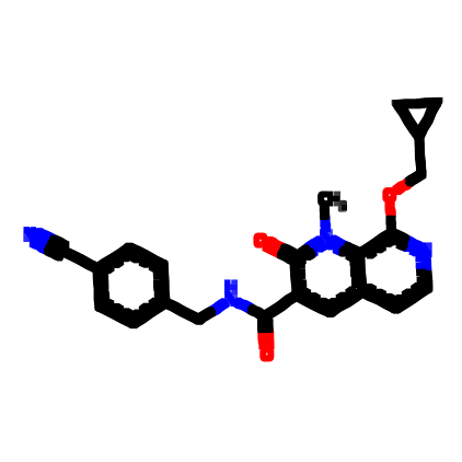 Cn1c(=O)c(C(=O)NCc2ccc(C#N)cc2)cc2ccnc(OCC3CC3)c21